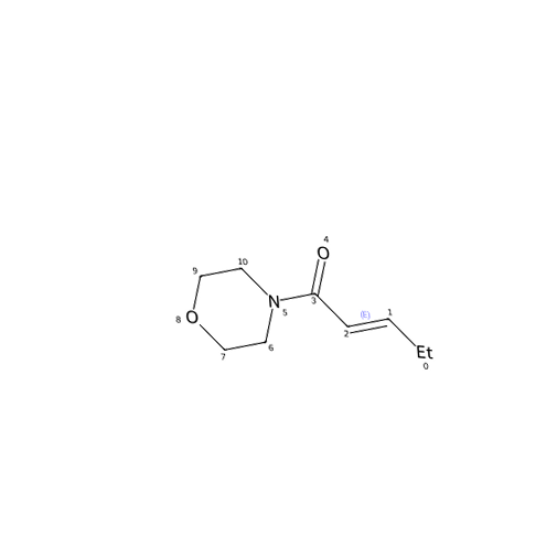 CC/C=C/C(=O)N1CCOCC1